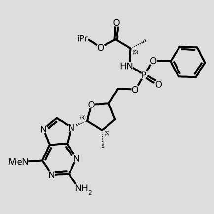 CNc1nc(N)nc2c1ncn2[C@@H]1OC(COP(=O)(N[C@@H](C)C(=O)OC(C)C)Oc2ccccc2)C[C@@H]1C